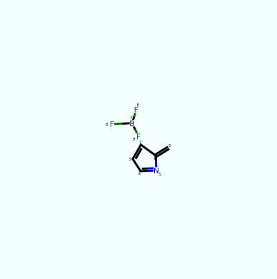 C=C1C=CC=N1.FB(F)F